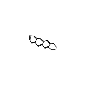 C1=Cc2cc3cc4ccccc4cc3cc2CC1